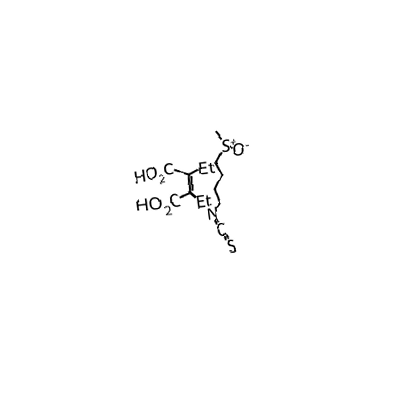 CC/C(C(=O)O)=C(\CC)C(=O)O.C[S+]([O-])CCCCN=C=S